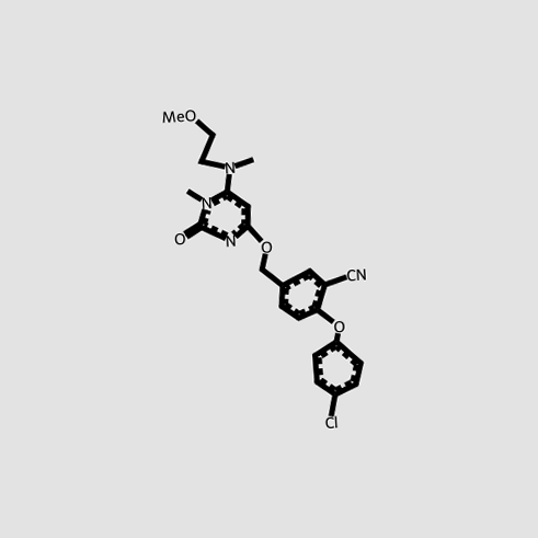 COCCN(C)c1cc(OCc2ccc(Oc3ccc(Cl)cc3)c(C#N)c2)nc(=O)n1C